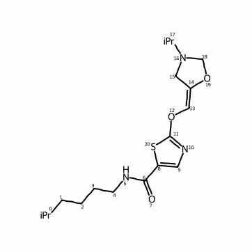 CC(C)CCCCNC(=O)c1cnc(OC=C2CN(C(C)C)CO2)s1